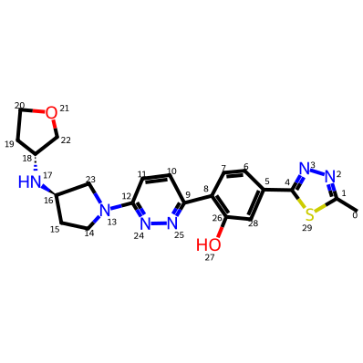 Cc1nnc(-c2ccc(-c3ccc(N4CC[C@@H](N[C@@H]5CCOC5)C4)nn3)c(O)c2)s1